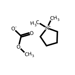 COC(=O)[O-].C[N+]1(C)CCCC1